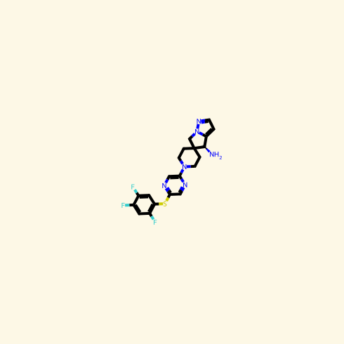 N[C@@H]1c2ccnn2CC12CCN(c1cnc(Sc3cc(F)c(F)cc3F)cn1)CC2